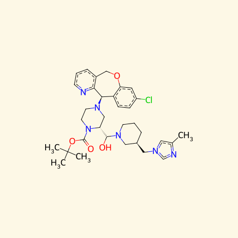 Cc1cn(C[C@@H]2CCCN(C(O)[C@H]3CN([C@@H]4c5ccc(Cl)cc5OCc5cccnc54)CCN3C(=O)OC(C)(C)C)C2)cn1